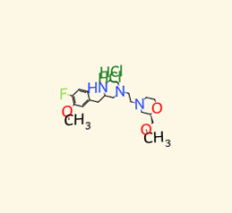 COC[C@H]1CN(CCN2CCNC(Cc3ccc(F)c(OC)c3)C2)CCO1.Cl.Cl